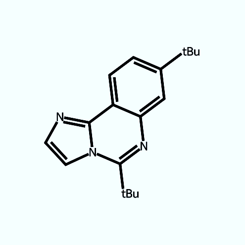 CC(C)(C)c1ccc2c(c1)nc(C(C)(C)C)n1ccnc21